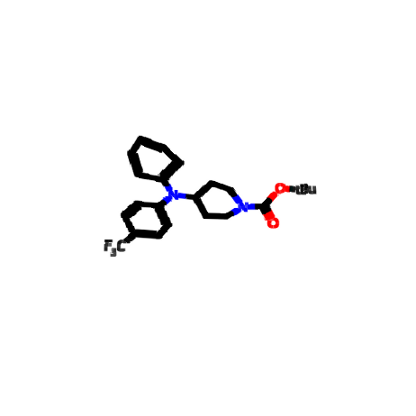 CC(C)(C)OC(=O)N1CCC(N(c2ccccc2)c2ccc(C(F)(F)F)cc2)CC1